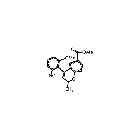 [C-]#[N+]c1cccc(OC)c1C1=CC(C)Oc2ccc(C(=O)OC)cc21